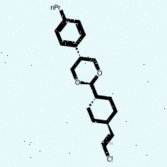 CCCc1ccc([C@H]2CO[C@H]([C@H]3CC[C@H](/C=C/Cl)CC3)OC2)cc1